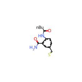 CCCCC(=O)Nc1ccc(C=S)cc1C(N)=O